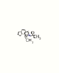 CCN1/C(=C/C(C)=O)Sc2ccc3c(c21)CCC3